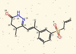 C=CCS(=O)(=O)c1cccc(C(C)=CC2=NNC(=O)CC2C)c1